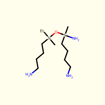 CC[Si](C)(CCCCN)O[Si](C)(N)CCCCN